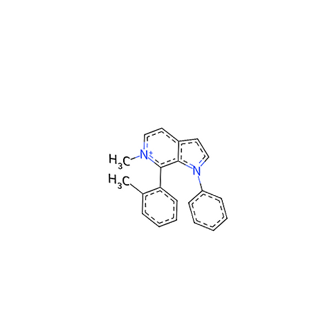 Cc1ccccc1-c1c2c(ccn2-c2ccccc2)cc[n+]1C